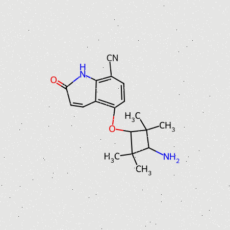 CC1(C)C(N)C(C)(C)C1Oc1ccc(C#N)c2[nH]c(=O)ccc12